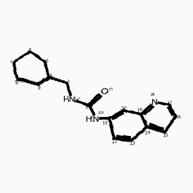 O=C(NCC1CCCCC1)Nc1ccc2cccnc2c1